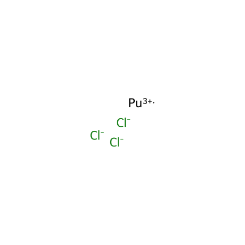 [Cl-].[Cl-].[Cl-].[Pu+3]